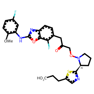 COc1ccc(F)cc1Nc1nc2ccc(CC(=O)CON3CCC[C@H]3c3ncc(CCC(=O)O)s3)c(F)c2o1